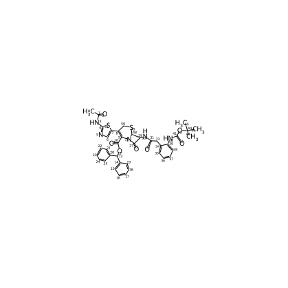 CC(=O)Nc1ncc(C2=C(C(=O)OC(c3ccccc3)c3ccccc3)N3C(=O)C(NC(=O)Cc4ccccc4NC(=O)OC(C)(C)C)C3SC2)s1